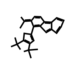 CC(C)=c1ccc2c(c1C1=CC(C(C)(C)C)=C(C(C)(C)C)C1)[C]=c1ccccc1=2